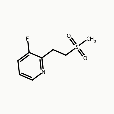 CS(=O)(=O)CCc1ncccc1F